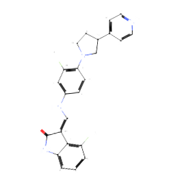 O=C1Nc2cccc(F)c2/C1=C/Nc1ccc(N2CCC(c3ccncc3)C2)c(F)c1